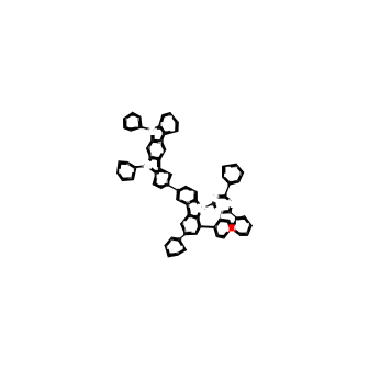 c1ccc(-c2cc(-c3ccccc3)c3c(c2)c2cc(-c4ccc5c(c4)c4cc6c7ccccc7n(-c7ccccc7)c6cc4n5-c4ccccc4)ccc2n3-c2nc(-c3ccccc3)nc(-c3ccccc3)n2)cc1